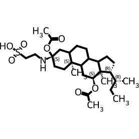 CC[C@@H](C)[C@H]1CCC2C3CCC4C[C@@](NCCS(=O)(=O)O)(OC(C)=O)CC[C@]4(C)C3C[C@H](OC(C)=O)[C@@]21C